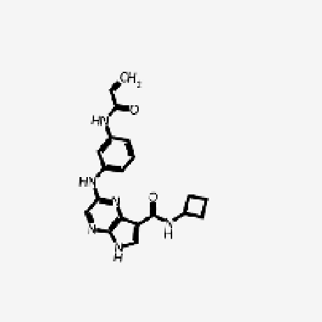 C=CC(=O)Nc1cccc(Nc2cnc3[nH]cc(C(=O)NC4CCC4)c3n2)c1